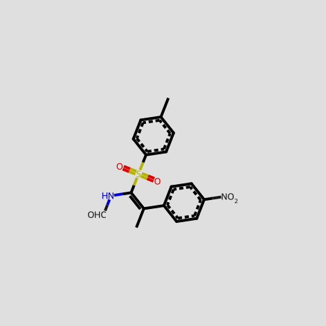 CC(=C(NC=O)S(=O)(=O)c1ccc(C)cc1)c1ccc([N+](=O)[O-])cc1